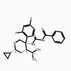 C[C@H](O)[C@@H]1C[C@H](C2CC2)OC[C@@]1(NC(=S)NC(=O)c1ccccc1)c1ccc(F)cc1F